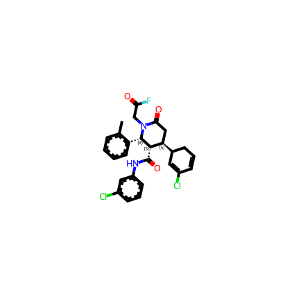 Cc1ccccc1[C@H]1[C@@H](C(=O)Nc2cccc(Cl)c2)[C@H](C2C=C(Cl)C=CC2)CC(=O)N1CC(=O)F